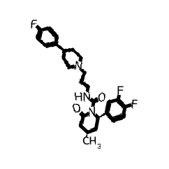 C[C@@H]1CC(=O)N(C(=O)NCCCN2CCC(c3ccc(F)cc3)CC2)[C@@H](c2ccc(F)c(F)c2)C1